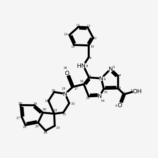 O=C(O)c1cnn2c(NCc3ccccc3)c(C(=O)N3CCC4(CCc5ccccc54)CC3)cnc12